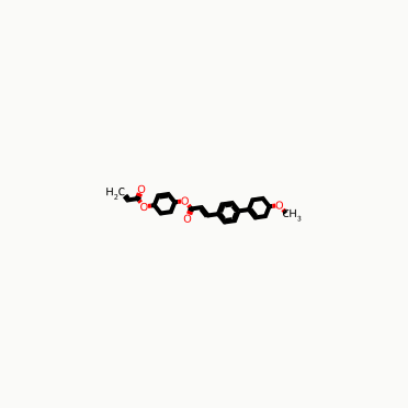 C=CC(=O)OC1C=CC(OC(=O)/C=C/c2ccc(C3=CCC(OC)CC3)cc2)CC1